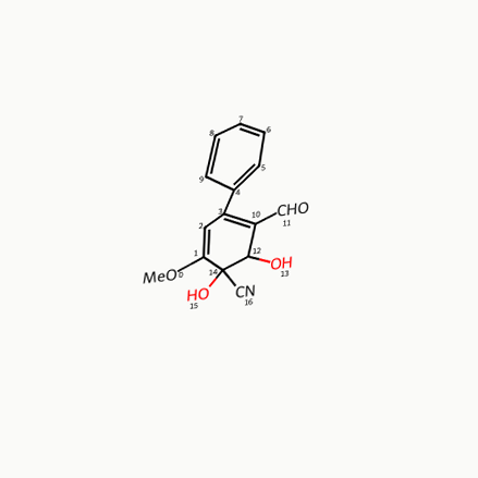 COC1=CC(c2ccccc2)=C(C=O)C(O)C1(O)C#N